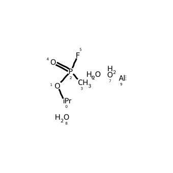 CC(C)OP(C)(=O)F.O.O.O.[Al]